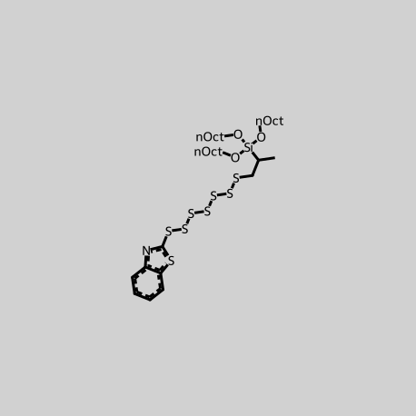 CCCCCCCCO[Si](OCCCCCCCC)(OCCCCCCCC)C(C)CSSSSSSSc1nc2ccccc2s1